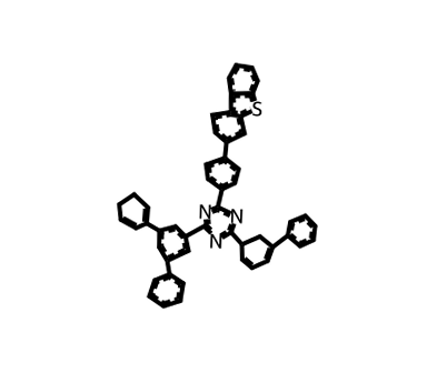 C1=CC(c2nc(-c3ccc(-c4ccc5c(c4)sc4ccccc45)cc3)nc(-c3cc(C4=CCCC=C4)cc(-c4ccccc4)c3)n2)CC(c2ccccc2)=C1